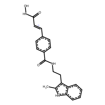 Cc1[nH]c2ccccc2c1CCNC(=O)c1ccc(/C=C/C(=O)NO)cc1